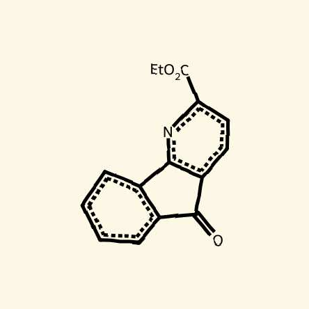 CCOC(=O)c1ccc2c(n1)-c1ccccc1C2=O